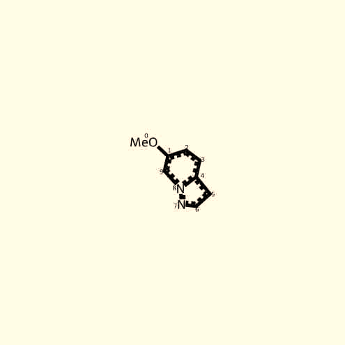 COc1ccc2ccnn2c1